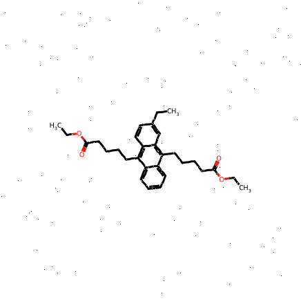 CCOC(=O)CCCCc1c2ccccc2c(CCCCC(=O)OCC)c2cc(CC)ccc12